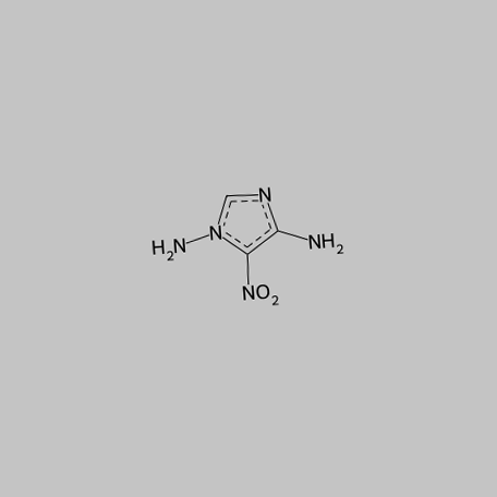 Nc1ncn(N)c1[N+](=O)[O-]